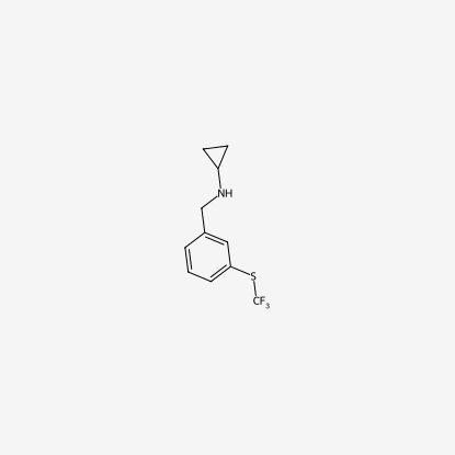 FC(F)(F)Sc1cccc(CNC2CC2)c1